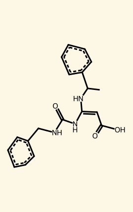 CC(NC(=CC(=O)O)NC(=O)NCc1ccccc1)c1ccccc1